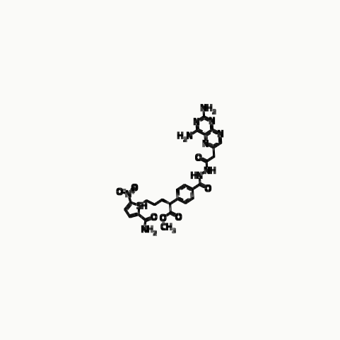 COC(=O)[C@@H](CCC[SH]1C(C(N)=O)=CC=C1[N+](=O)[O-])c1ccc(C(=O)NNC(=O)Cc2cnc3nc(N)nc(N)c3n2)cc1